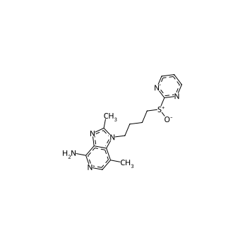 Cc1cnc(N)c2nc(C)n(CCCC[S+]([O-])c3ncccn3)c12